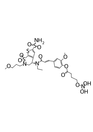 CCN(C(=O)/C=C/c1ccc(OC(=O)CCCON(O)O)c(OC)c1)[C@H]1CN(CCCOC)S(=O)(=O)c2sc(S(N)(=O)=O)cc21